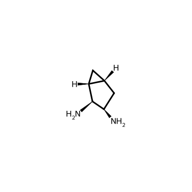 N[C@H]1[C@@H]2C[C@@H]2C[C@H]1N